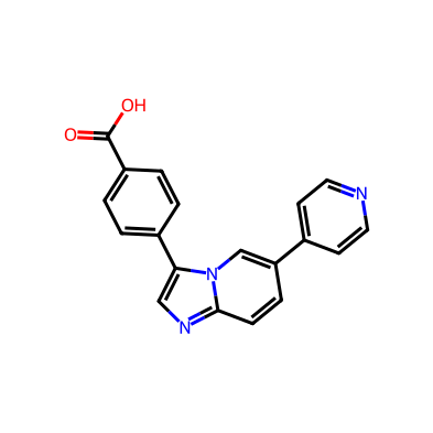 O=C(O)c1ccc(-c2cnc3ccc(-c4ccncc4)cn23)cc1